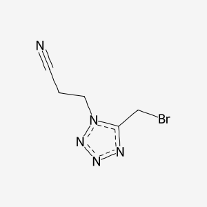 N#CCCn1nnnc1CBr